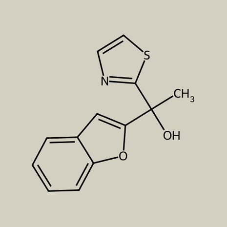 CC(O)(c1cc2ccccc2o1)c1nccs1